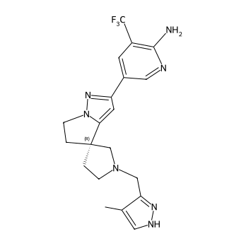 Cc1c[nH]nc1CN1CC[C@@]2(CCn3nc(-c4cnc(N)c(C(F)(F)F)c4)cc32)C1